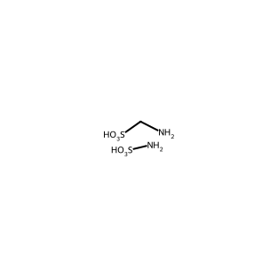 NCS(=O)(=O)O.NS(=O)(=O)O